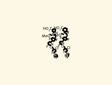 COCCn1c(Cc2cc(F)c(-c3ccc(F)c(OCc4cnc(-n5ccnn5)cc4Cl)n3)cc2F)nc2ccc(C(=O)O)cc21.COCCn1c(Cc2cc(F)c(-c3ccc(F)c(OCc4cnc(-n5ccnn5)cc4Cl)n3)cc2F)nc2ccc(C(=O)O)cc21